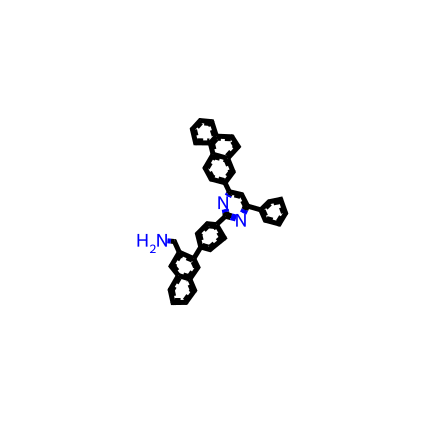 NCc1cc2ccccc2cc1-c1ccc(-c2nc(-c3ccccc3)cc(-c3ccc4c(ccc5ccccc54)c3)n2)cc1